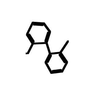 [CH2]c1ccccc1-c1ccccc1C